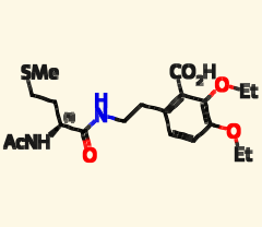 CCOc1ccc(CCNC(=O)[C@H](CCSC)NC(C)=O)c(C(=O)O)c1OCC